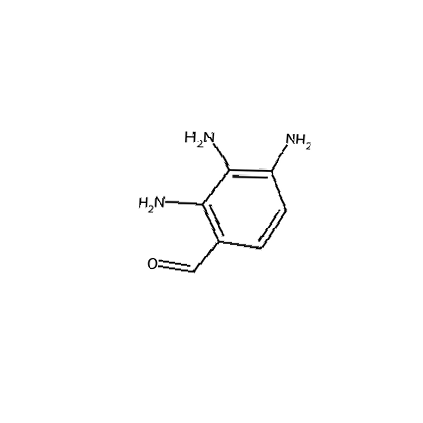 Nc1ccc(C=O)c(N)c1N